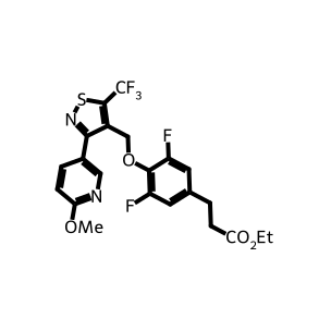 CCOC(=O)CCc1cc(F)c(OCc2c(-c3ccc(OC)nc3)nsc2C(F)(F)F)c(F)c1